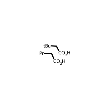 CC(C)(C)CC(=O)O.CC(C)CC(=O)O